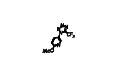 COc1ccc(-n2nnnc2C(F)(F)F)cn1